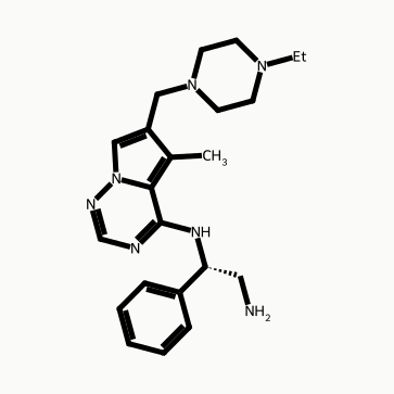 CCN1CCN(Cc2cn3ncnc(N[C@H](CN)c4ccccc4)c3c2C)CC1